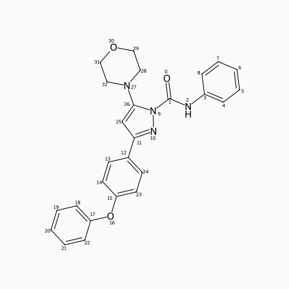 O=C(Nc1ccccc1)n1nc(-c2ccc(Oc3ccccc3)cc2)cc1N1CCOCC1